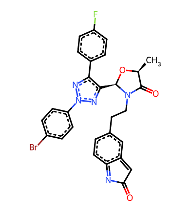 C[C@@H]1O[C@H](c2nn(-c3ccc(Br)cc3)nc2-c2ccc(F)cc2)N(CCc2ccc3c(c2)=CC(=O)N=3)C1=O